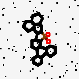 O=S1(=O)c2cc3c4c(cccc4c2-c2ccc4c5ccccc5c5ccccc5c4c21)C=CC3